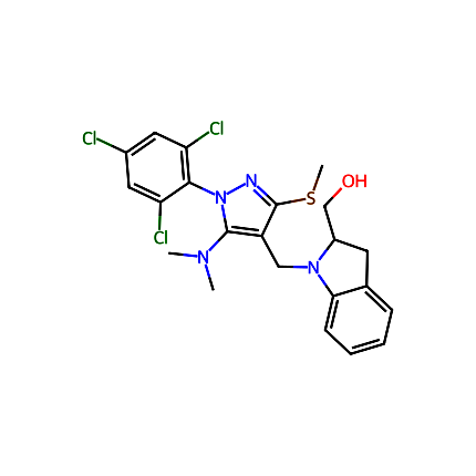 CSc1nn(-c2c(Cl)cc(Cl)cc2Cl)c(N(C)C)c1CN1c2ccccc2CC1CO